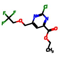 CCOC(=O)c1cc(COCC(F)(F)F)nc(Cl)n1